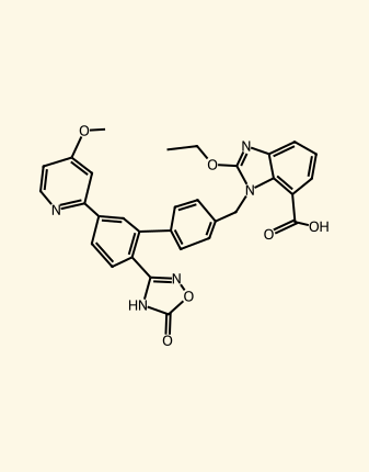 CCOc1nc2cccc(C(=O)O)c2n1Cc1ccc(-c2cc(-c3cc(OC)ccn3)ccc2-c2noc(=O)[nH]2)cc1